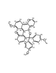 COc1ccc(C2(c3ccc(OC)cc3)OC3C4=CC=COC4=c4ccc(OC)cc4=C3C3=C2C=CCC3=O)cc1